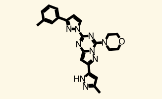 Cc1cccc(-c2ccn(-c3nc(N4CCOCC4)n4nc(-c5cc(C)n[nH]5)cc4n3)n2)c1